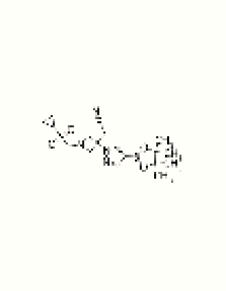 CC1(C)OB(c2cnn(C3(CC#N)CN(CS(=O)(=O)C4CC4)C3)c2)OC1(C)C